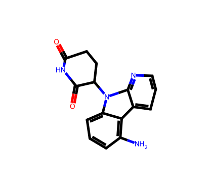 Nc1cccc2c1c1cccnc1n2C1CCC(=O)NC1=O